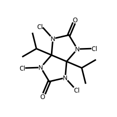 CC(C)C12N(Cl)C(=O)N(Cl)C1(C(C)C)N(Cl)C(=O)N2Cl